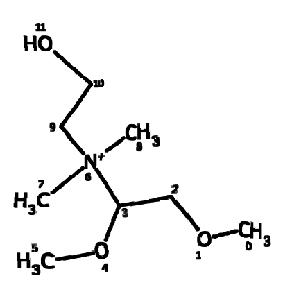 COCC(OC)[N+](C)(C)CCO